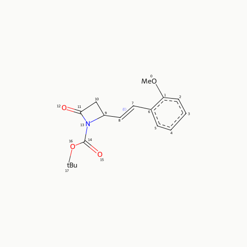 COc1ccccc1/C=C/C1CC(=O)N1C(=O)OC(C)(C)C